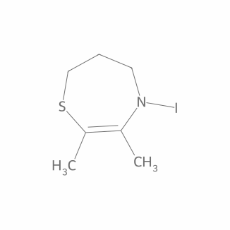 CC1=C(C)N(I)CCCS1